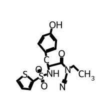 CCN(C#N)C(=O)C(Cc1ccc(O)cc1)NS(=O)(=O)c1cccs1